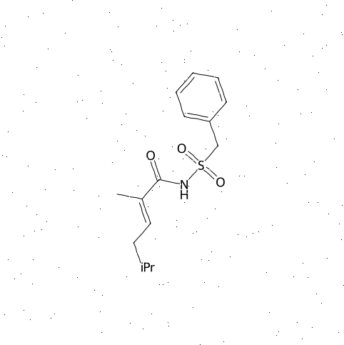 CC(=CCC(C)C)C(=O)NS(=O)(=O)Cc1ccccc1